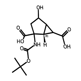 CC(C)(C)OC(=O)NC1(C(=O)O)CC(O)C2C(C(=O)O)[C@@H]21